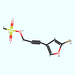 CS(=O)(=O)OCC#Cc1coc(Br)c1